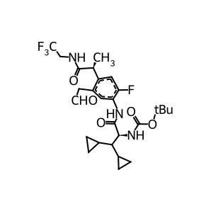 C[C@H](C(=O)NCC(F)(F)F)c1cc(F)c(NC(=O)[C@@H](NC(=O)OC(C)(C)C)C(C2CC2)C2CC2)cc1CC=O